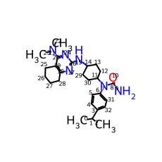 CC(C)c1ccc(N(C(N)=O)C2CCC(Nc3nc4c(c(N(C)C)n3)CCCC4)CC2)cc1